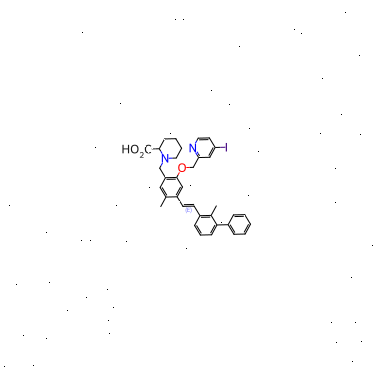 Cc1cc(CN2CCCCC2C(=O)O)c(OCc2cc(I)ccn2)cc1/C=C/c1cccc(-c2ccccc2)c1C